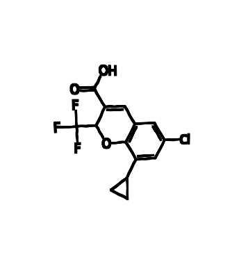 O=C(O)C1=Cc2cc(Cl)cc(C3CC3)c2OC1C(F)(F)F